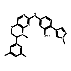 COc1nc(Nc2ncc3c(n2)N(C)C(c2cc(F)cc(F)c2)CO3)ccc1-c1cnn(C)c1